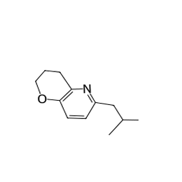 CC(C)Cc1ccc2c(n1)CCCO2